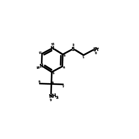 CC(C)CSc1cc(C(C)(C)N)ncn1